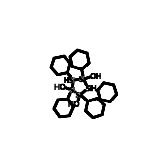 O[Si]1(C2CCCCC2)[SiH](C2CCCCC2)[Si](O)(C2CCCCC2)[Si](O)(C2CCCCC2)[SiH]1C1CCCCC1